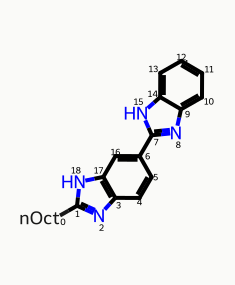 [CH2]CCCCCCCc1nc2ccc(-c3nc4cc[c]cc4[nH]3)cc2[nH]1